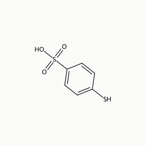 O=S(=O)(O)c1ccc(S)cc1